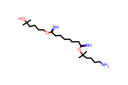 CC(C)(O)CCCCOC(=N)CCCCCCC(=N)OC(C)(C)CCCCN